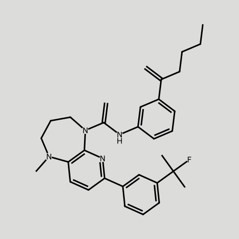 C=C(CCCC)c1cccc(NC(=C)N2CCCN(C)c3ccc(-c4cccc(C(C)(C)F)c4)nc32)c1